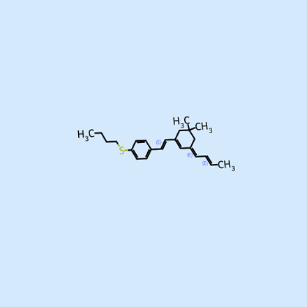 C/C=C/C=C1C=C(/C=C/c2ccc(SCCCC)cc2)CC(C)(C)C/1